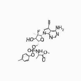 C#Cc1cn([C@@H]2O[C@H](COP(=O)(NC(C)C(=O)OC)Oc3ccc(C)cc3)[C@@H](O)[C@@]2(C)F)c2ncnc(N)c12